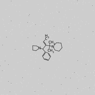 CC=C(C(c1ccccc1)N1CCCC1)C(C)(C)N1CCCCC1